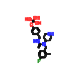 C=C(NCc1ccc(OC(O)(O)O)cc1)N(Cc1ccc(F)cc1C)C1CCNCC1